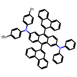 CC(C)c1ccc(N(c2ccc(C(C)(C)C)cc2)c2ccc3c(-c4cc5ccccc5c5ccccc45)c4cc(N(c5ccccc5)c5ccccc5)ccc4c(-c4cc5ccccc5c5ccccc45)c3c2)cc1